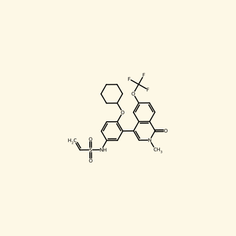 C=CS(=O)(=O)Nc1ccc(OC2CCCCC2)c(-c2cn(C)c(=O)c3ccc(OC(F)(F)F)cc23)c1